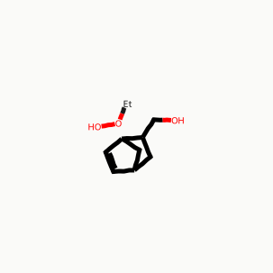 CCOO.OCC1CC2C=CC1C2